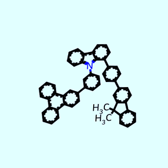 CC1(C)c2ccccc2-c2ccc(-c3ccc(-c4cccc5c6ccccc6n(-c6cccc(-c7ccc8c9ccccc9c9ccccc9c8c7)c6)c45)cc3)cc21